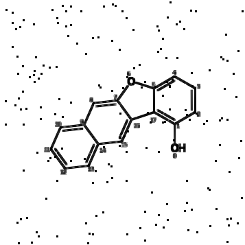 Oc1cccc2oc3cc4ccccc4cc3c12